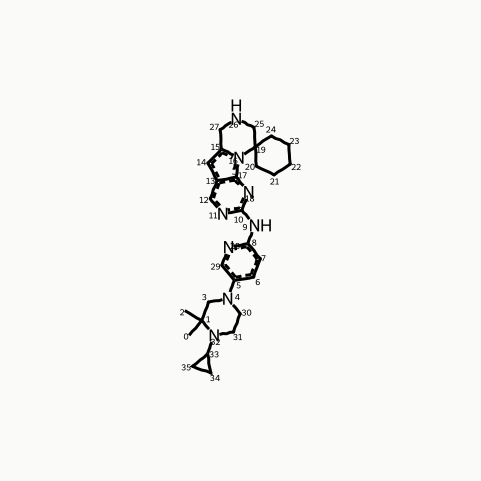 CC1(C)CN(c2ccc(Nc3ncc4cc5n(c4n3)C3(CCCCC3)CNC5)nc2)CCN1C1CC1